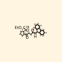 CCOC(=O)C(O)[C@@H]1CCCN1C(=O)CCC(=O)NC1c2ccccc2-c2ccccc21